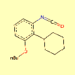 CCCCOc1cccc(N=C=O)c1C1CCCCC1